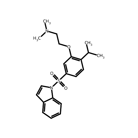 CC(C)c1ccc(S(=O)(=O)n2ccc3ccccc32)cc1OCCN(C)C